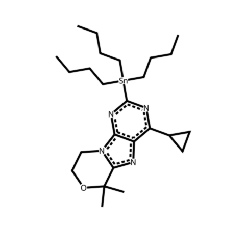 CCC[CH2][Sn]([CH2]CCC)([CH2]CCC)[c]1nc(C2CC2)c2nc3n(c2n1)CCOC3(C)C